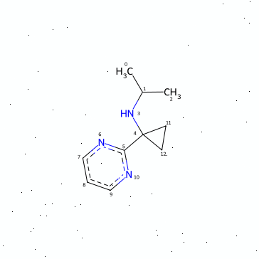 CC(C)NC1(c2ncccn2)CC1